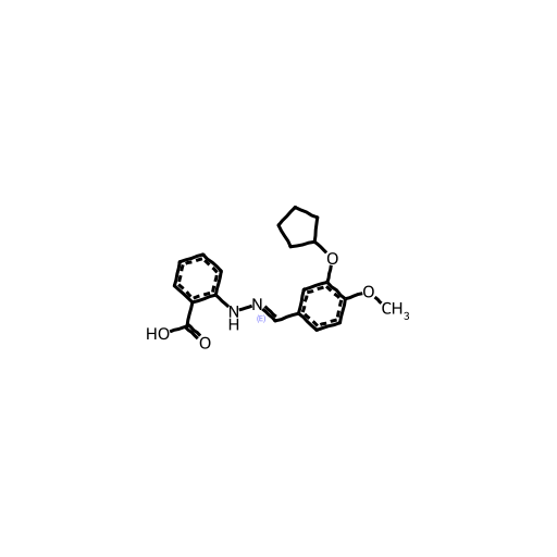 COc1ccc(/C=N/Nc2ccccc2C(=O)O)cc1OC1CCCC1